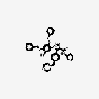 CC(C)c1cc(-n2nnc(C(=O)NC3CCCC3)c2-c2ccc(CN3CCOCC3)cc2)c(OCc2ccccc2)cc1OCc1ccccc1